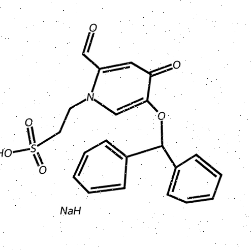 O=Cc1cc(=O)c(OC(c2ccccc2)c2ccccc2)cn1CCS(=O)(=O)O.[NaH]